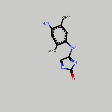 COc1cc(NC2=NC(=O)N=C2)c(OC)cc1N